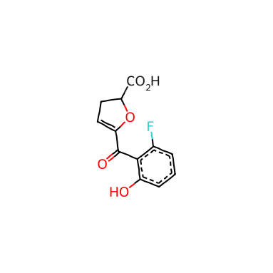 O=C(C1=CCC(C(=O)O)O1)c1c(O)cccc1F